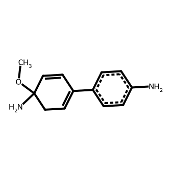 COC1(N)C=CC(c2ccc(N)cc2)=CC1